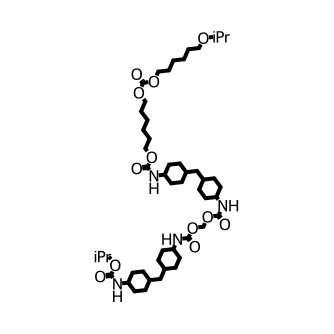 CC(C)OCCCCCCOC(=O)OCCCCCCOC(=O)NC1CCC(CC2CCC(NC(=O)OCOC(=O)NC3CCC(CC4CCC(NC(=O)OC(C)C)CC4)CC3)CC2)CC1